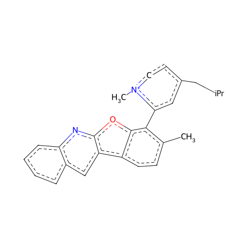 Cc1ccc2c(oc3nc4ccccc4cc32)c1-c1cc(CC(C)C)cc[n+]1C